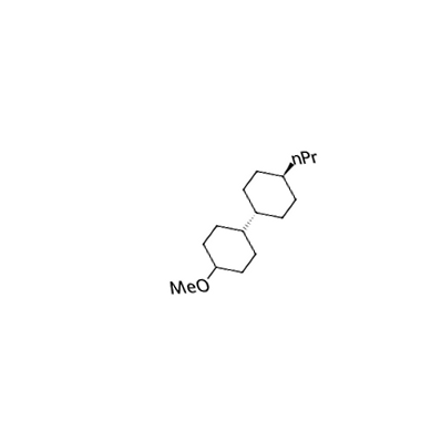 CCC[C@H]1CC[C@H](C2CCC(OC)CC2)CC1